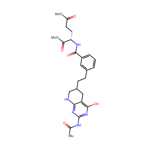 COC(=O)CC[C@H](NC(=O)c1cccc(CCC2CNc3nc(NC(=O)C(C)(C)C)nc(O)c3C2)c1)C(=O)OC